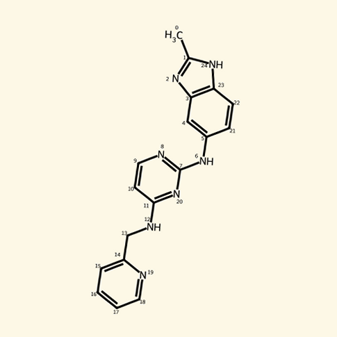 Cc1nc2cc(Nc3nccc(NCc4ccccn4)n3)ccc2[nH]1